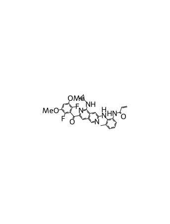 C=CC(=O)Nc1cccc(C)c1Nc1cc2c(NC3CC3)nc(C(=O)c3c(F)c(OC)cc(OC)c3F)cc2cn1